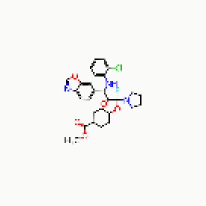 COC(=O)C1CCC(OC(F)(C(=O)C(Nc2ccccc2Cl)c2ccc3ncoc3c2)N2CCCC2)CC1